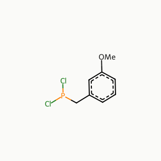 COc1cccc(CP(Cl)Cl)c1